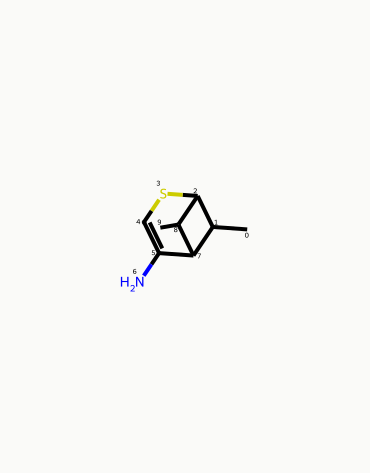 CC1C2SC=C(N)C1C2C